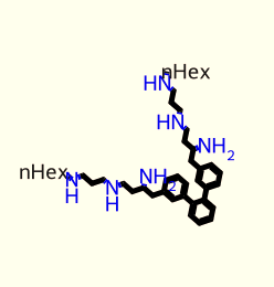 CCCCCCNCCCNCCC(N)Cc1cccc(-c2ccccc2-c2cccc(CC(N)CCNCCCNCCCCCC)c2)c1